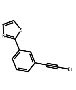 CCC#Cc1cccc(-c2nccs2)c1